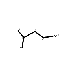 CC(C)CC[N]